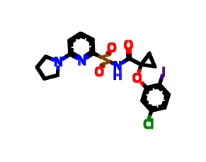 O=C(NS(=O)(=O)c1cccc(N2CCCC2)n1)C1(Oc2cc(Cl)ccc2I)CC1